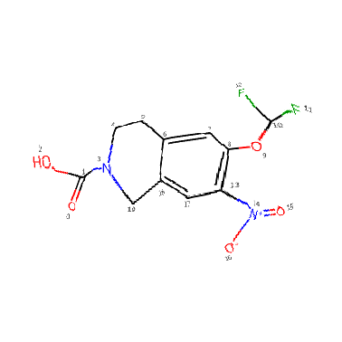 O=C(O)N1CCc2cc(OC(F)F)c([N+](=O)[O-])cc2C1